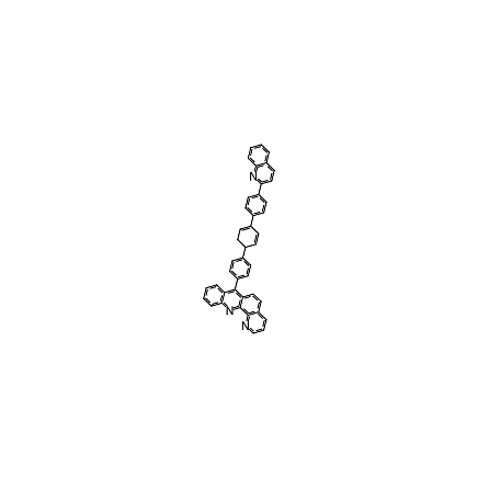 C1=CC(c2ccc(-c3c4ccccc4nc4c3ccc3cccnc34)cc2)CC=C1c1ccc(-c2ccc3ccccc3n2)cc1